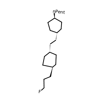 CCCCC[C@H]1CC[C@H](CC[C@H]2CC[C@H](CCCF)CC2)CC1